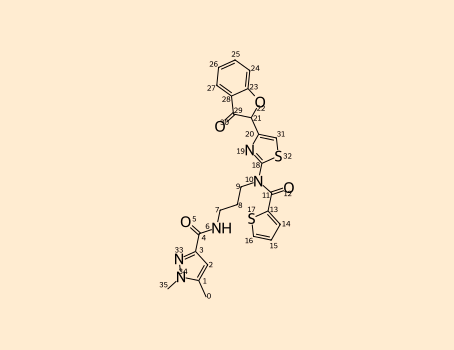 Cc1cc(C(=O)NCCCN(C(=O)c2cccs2)c2nc(C3Oc4ccccc4C3=O)cs2)nn1C